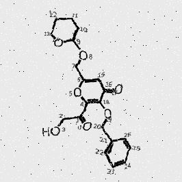 O=C(CO)c1oc(COC2CCCCO2)cc(=O)c1OCc1ccccc1